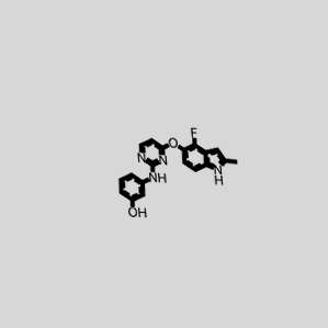 Cc1cc2c(F)c(Oc3ccnc(Nc4cccc(O)c4)n3)ccc2[nH]1